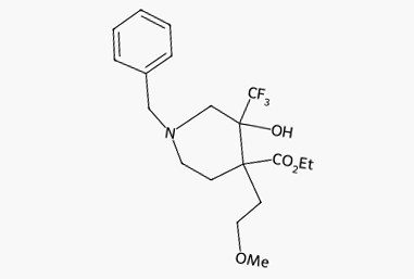 CCOC(=O)C1(CCOC)CCN(Cc2ccccc2)CC1(O)C(F)(F)F